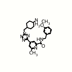 COc1cccc(CNC(=O)c2cc(-c3nnn(CC4CCC(N)CC4)n3)cc(C)n2)c1